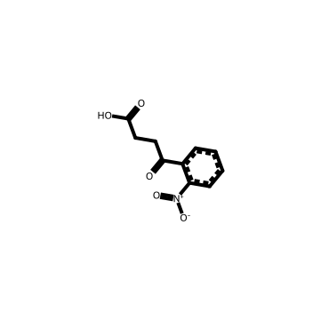 O=C(O)CCC(=O)c1ccccc1[N+](=O)[O-]